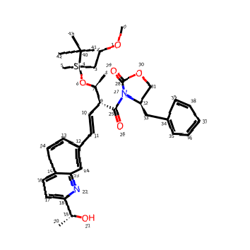 COCC[Si](C)(O[C@@H](C)[C@@H](/C=C/c1ccc2ccc([C@@H](C)O)nc2c1)C(=O)N1C(=O)OC[C@H]1Cc1ccccc1)C(C)(C)C